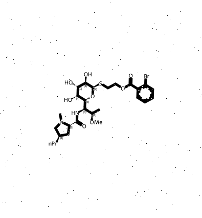 CCC[C@@H]1C[C@@H](C(=O)N[C@@H]([C@H]2O[C@H](SCCOC(=O)c3ccccc3Br)[C@H](O)[C@@H](O)[C@H]2O)[C@@H](C)OC)N(C)C1